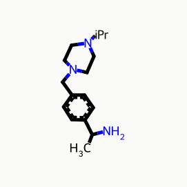 CC(N)c1ccc(CN2CCN(C(C)C)CC2)cc1